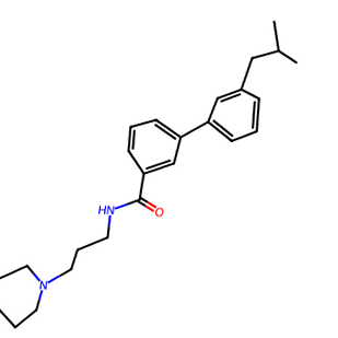 CC(C)Cc1cccc(-c2cccc(C(=O)NCCCN3CCCCC3)c2)c1